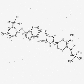 CC(C)(C)OC(=O)N1CCN(C2=NC(=O)C(=Cc3ccc4c(cnn4Cc4ccc(Cl)cc4C(F)(F)F)c3)S2)C[C@H]1CO